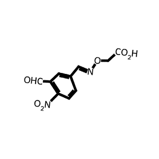 O=Cc1cc(C=NOCC(=O)O)ccc1[N+](=O)[O-]